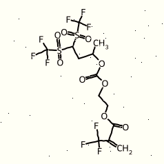 C=C(C(=O)OCCOC(=O)OC(C)CC(S(=O)(=O)C(F)(F)F)S(=O)(=O)C(F)(F)F)C(F)(F)F